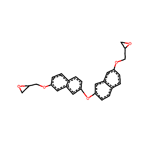 c1cc2ccc(Oc3ccc4ccc(OCC5CO5)cc4c3)cc2cc1OCC1CO1